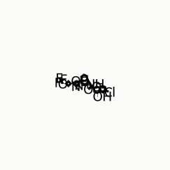 O=C(NC1CCC2(c3nnc([C@H]4C[C@@H](OC(F)(F)F)C4)o3)CCCC1O2)[C@H]1C[C@@H](O)c2cc(Cl)ccc2O1